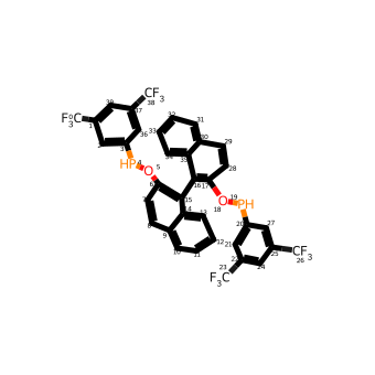 FC(F)(F)c1cc(POc2ccc3ccccc3c2-c2c(OPc3cc(C(F)(F)F)cc(C(F)(F)F)c3)ccc3ccccc23)cc(C(F)(F)F)c1